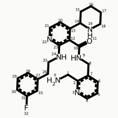 NCc1ncccc1CNC(=O)c1c(C2CCCCN2)ccnc1NCCc1cccc(F)c1